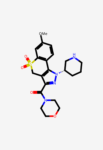 COc1ccc2c(c1)S(=O)(=O)Cc1c(C(=O)N3CCOCC3)nn([C@H]3CCCNC3)c1-2